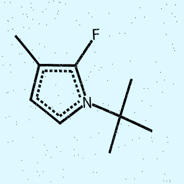 Cc1ccn(C(C)(C)C)c1F